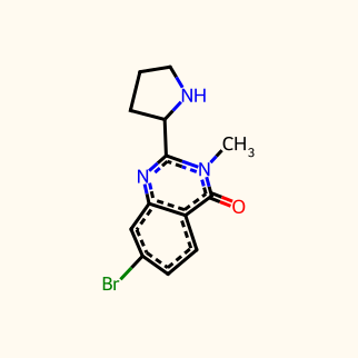 Cn1c(C2CCCN2)nc2cc(Br)ccc2c1=O